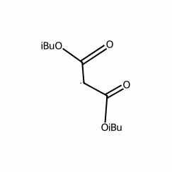 CC(C)COC(=O)[CH]C(=O)OCC(C)C